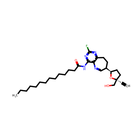 C#C[C@@]1(CO)CC[C@H](C2C=Nc3c(nc(F)nc3NC(=O)CCCCCCCCCCCCC)CC2)O1